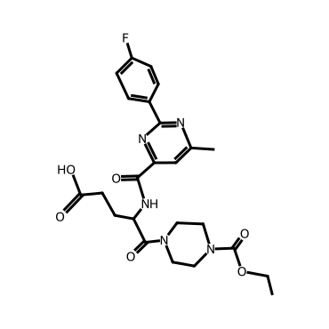 CCOC(=O)N1CCN(C(=O)C(CCC(=O)O)NC(=O)c2cc(C)nc(-c3ccc(F)cc3)n2)CC1